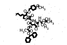 COc1ccc(COC(=O)C2=C(/C=C/CI)CSC3[C@H](NC(=O)/C(=N\O[C@@H](C)C(=O)OC(c4ccccc4)c4ccccc4)c4nc(NC(=O)OC(C)(C)C)sc4Cl)C(=O)N23)cc1